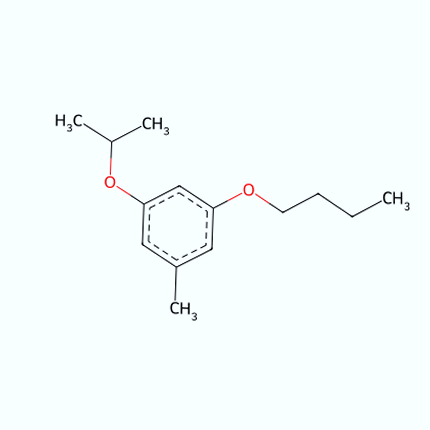 CCCCOc1cc(C)cc(OC(C)C)c1